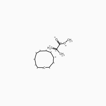 C1CCCCCCCCCC1.C=C(C)C(=O)OC